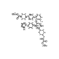 CC(C)(C)OC(=O)NCC1CCC(C(=O)N[C@@H](Cc2cccc(-c3cnc(N4CCN(C(=O)OC(C)(C)C)CC4)nc3)c2)C(=O)Nc2ccc(-c3nnn[nH]3)cc2)CC1